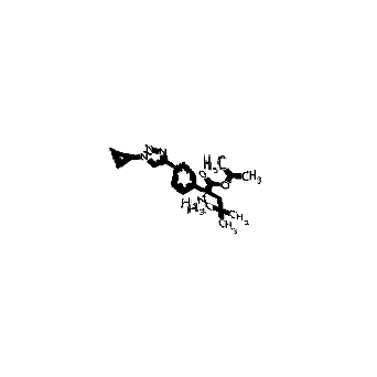 CC(C)OC(=O)[C@@](N)(CC(C)(C)C)c1ccc(-c2cn(C3CC3)nn2)cc1